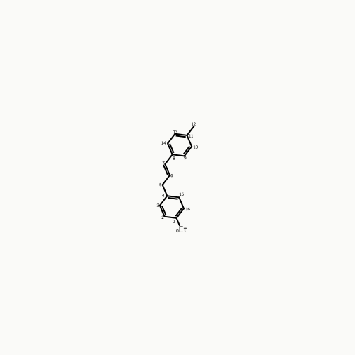 CCc1ccc(CC=Cc2ccc(C)cc2)cc1